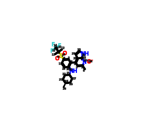 Cc1cc(-c2cc(S(=O)(=O)C(C)(C)C(F)(F)F)ccc2N[C@H]2CC[C@H](C)CC2)c2cc[nH]c2[n+]1[O-]